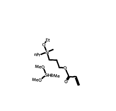 C=CC(=O)OCCC[Si](C)(CCC)OCC.CO[SiH](OC)OC